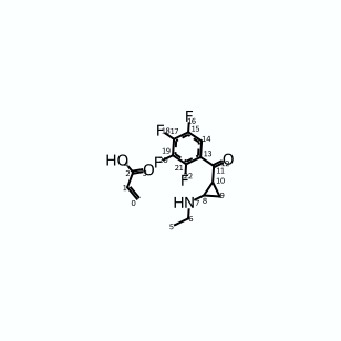 C=CC(=O)O.CCNC1CC1C(=O)c1cc(F)c(F)c(F)c1F